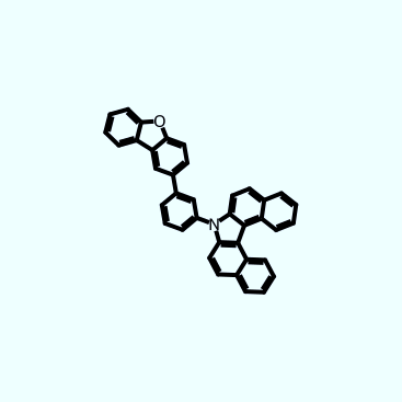 c1cc(-c2ccc3oc4ccccc4c3c2)cc(-n2c3ccc4ccccc4c3c3c4ccccc4ccc32)c1